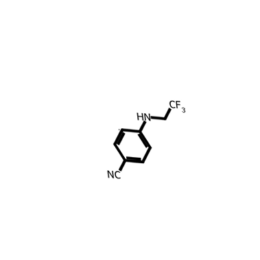 N#Cc1c[c]c(NCC(F)(F)F)cc1